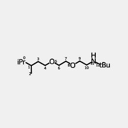 CC(C)C(C)CCOCCOCCNC(C)(C)C